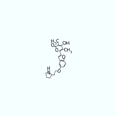 Cc1c(-c2cc3cc(OCCC4CCCN4)ccc3o2)oc(=O)c(C)c1O